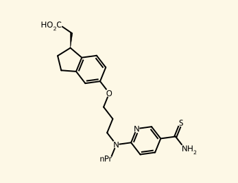 CCCN(CCCOc1ccc2c(c1)CC[C@H]2CC(=O)O)c1ccc(C(N)=S)cn1